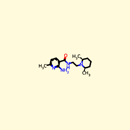 Cc1ccc(C(=O)NCCN2[C@H](C)CCC[C@@H]2C)c(N)n1